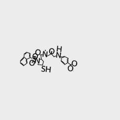 COC(=O)c1ccc(NCC(=O)CN(C)C(=O)C2CC(S)CN2S(=O)(=O)c2cccc3ccccc23)cc1